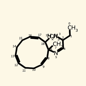 CCC(N)/C=N\C1(C)/C=C\CC/C=C\CC/C=C\C1C